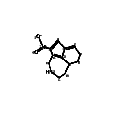 O=[N+]([O-])C1=CC2=CCCC3CCNCC1=C23